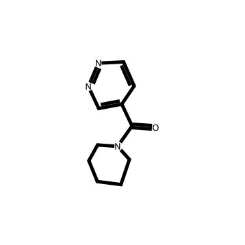 O=C(c1ccnnc1)N1CCCCC1